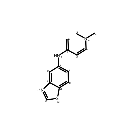 C=C(/C=C\N(C)C)Nc1ccc2scnc2c1